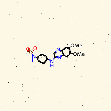 COc1cc2ncc(Nc3ccc(N[SH](=O)=O)cc3)nc2cc1OC